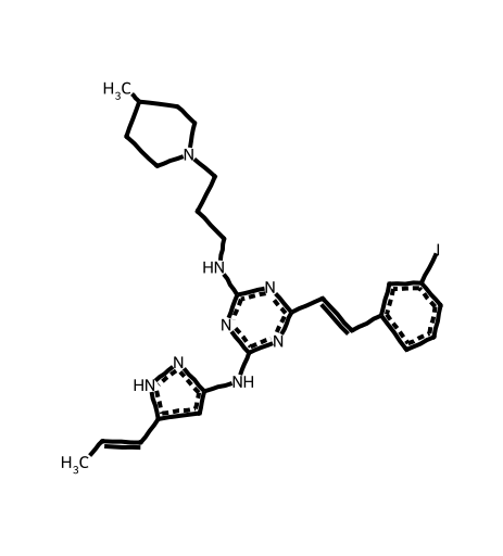 C/C=C/c1cc(Nc2nc(/C=C/c3cccc(I)c3)nc(NCCCN3CCC(C)CC3)n2)n[nH]1